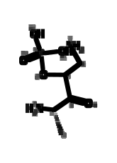 C[C@H](N)C(=O)C(CN)OP(=O)(O)O